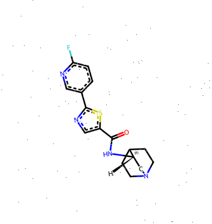 O=C(N[C@H]1CN2CCC1CC2)c1cnc(-c2ccc(F)nc2)s1